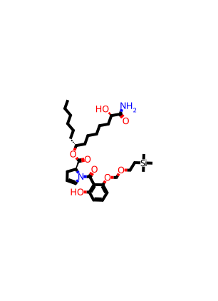 CCCCCC[C@H](CCCCC[C@@H](O)C(N)=O)OC(=O)[C@@H]1CC=CN1C(=O)c1c(O)cccc1OCOCC[Si](C)(C)C